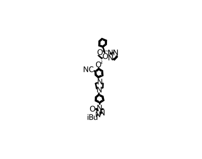 CCC(C)n1ncn(-c2ccc(N3CCN(c4ccc(OC[C@@H]5CO[C@@](Cn6nccn6)(c6ccccc6)O5)c(C#N)c4)CC3)cc2)c1=O